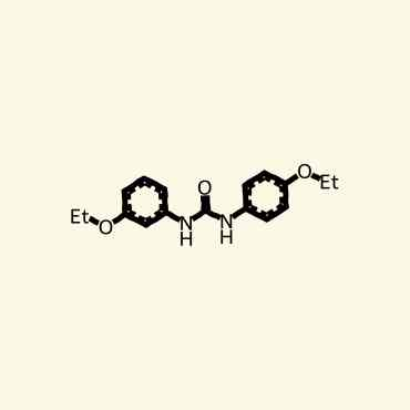 CCOc1ccc(NC(=O)Nc2cccc(OCC)c2)cc1